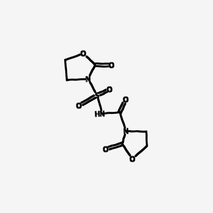 O=C(NS(=O)(=O)N1CCOC1=O)N1CCOC1=O